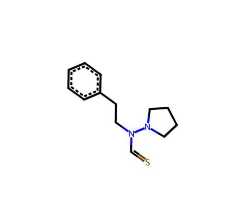 S=CN(CCc1ccccc1)N1CCCC1